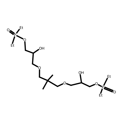 CCP(=O)(CC)OCC(O)COCC(C)(C)COCC(O)COP(=O)(CC)CC